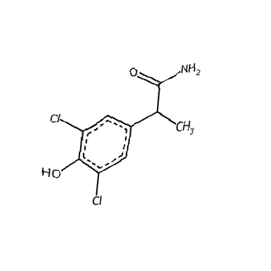 CC(C(N)=O)c1cc(Cl)c(O)c(Cl)c1